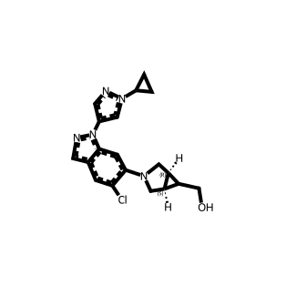 OCC1[C@H]2CN(c3cc4c(cnn4-c4cnn(C5CC5)c4)cc3Cl)C[C@@H]12